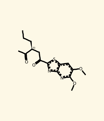 CCC[C@@H](CC(=O)c1nc2nc(OC)c(OC)cc2s1)C(C)=O